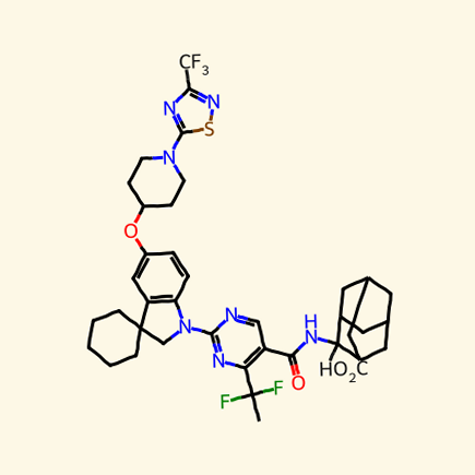 CC(F)(F)c1nc(N2CC3(CCCCC3)c3cc(OC4CCN(c5nc(C(F)(F)F)ns5)CC4)ccc32)ncc1C(=O)NC1(C(=O)O)C2CC3CC(C2)CC1C3